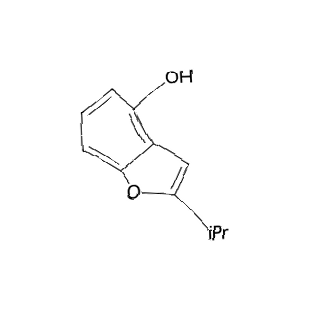 CC(C)c1cc2c(O)cccc2o1